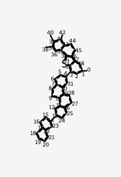 Cc1cc(-c2ccc3ccc4c5cc(-c6ccc7ccccc7c6)ccc5ccc4c3c2)c2sc3c4cc(C)c(C)c(C)c4ccc3c2c1